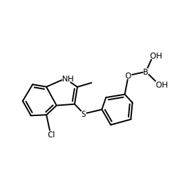 Cc1[nH]c2cccc(Cl)c2c1Sc1cccc(OB(O)O)c1